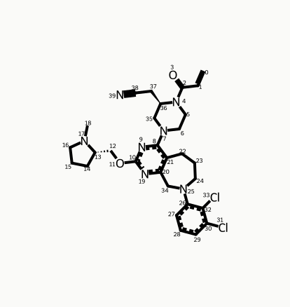 C=CC(=O)N1CCN(c2nc(OC[C@@H]3CCCN3C)nc3c2CCCN(c2cccc(Cl)c2Cl)C3)C[C@H]1CC#N